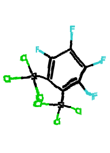 Fc1c(F)c(F)c([Si](Cl)(Cl)Cl)c([Si](Cl)(Cl)Cl)c1F